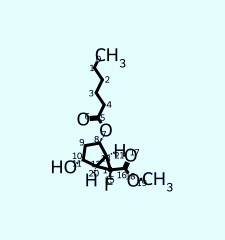 CCCCCC(=O)O[C@H]1C[C@@H](O)[C@H]2[C@@H]1[C@]2(F)C(=O)OC